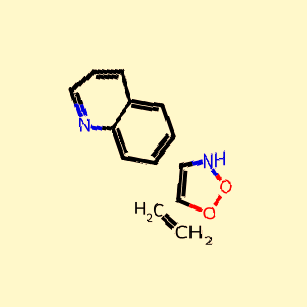 C1=COON1.C=C.c1ccc2ncccc2c1